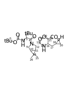 CC(C)(C)OC(=O)NC(C(=O)N1CC2C([C@H]1C(=O)NC(CC1CC1)C(=O)C(=O)O)C2(C)C)C(C)(C)C